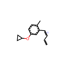 C=C/C=C\c1cc(OC2CC2)ccc1C